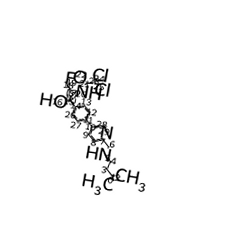 CC(C)CCNCc1ccc(-c2ccc([C@@H](O)[C@@H](CF)NC(=O)C(Cl)Cl)cc2)cn1